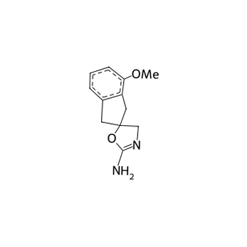 COc1cccc2c1CC1(CN=C(N)O1)C2